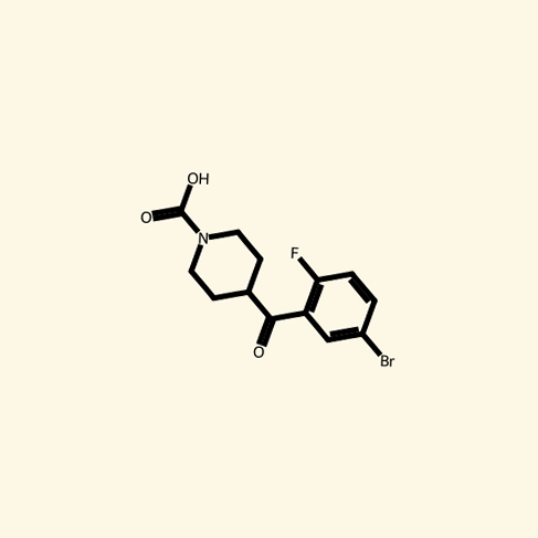 O=C(c1cc(Br)ccc1F)C1CCN(C(=O)O)CC1